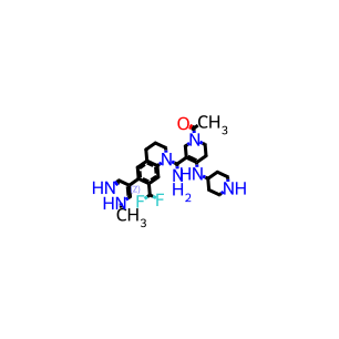 CN/C=C(\C=N)c1cc2c(cc1C(F)F)N(C(N)C1=C(NC3CCNCC3)CCN(C(C)=O)C1)CCC2